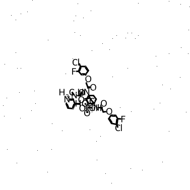 CN(C(=O)OC1CC2(NC(=O)COc3ccc(Cl)c(F)c3)CCC1(NC(=O)COc1ccc(Cl)c(F)c1)CC2)c1ncccc1COP(=O)(O)O